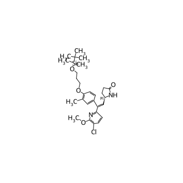 COc1nc(C(=C[C@H]2CCC(=O)N2)c2ccc(OCCCO[Si](C)(C)C(C)(C)C)c(C)c2)ccc1Cl